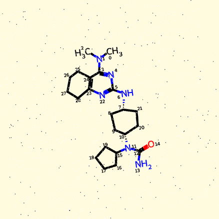 CN(C)c1nc(N[C@H]2CC[C@@H](N(C(N)=O)C3CCCC3)CC2)nc2c1CCCC2